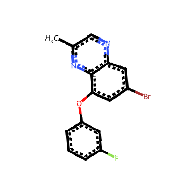 Cc1cnc2cc(Br)cc(Oc3cccc(F)c3)c2n1